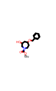 CC(C)(C)OC(=O)N1CCC(OCc2ccccc2)CC(O)C1